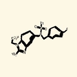 CCCc1nc2cc(N(Cc3ccc(F)cc3)S(=O)(=O)CC)ccc2n1CC(=O)O